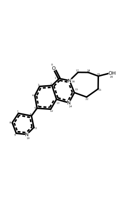 O=c1c2ccc(-c3cccnc3)cc2nc2n1CCC(O)CC2